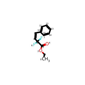 CCOC(=O)C(F)(F)/C=C\c1ccccc1